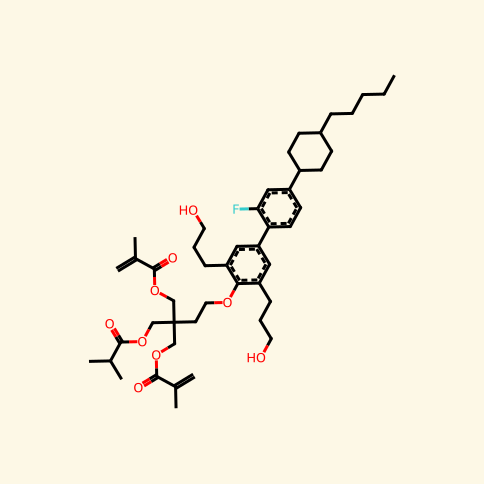 C=C(C)C(=O)OCC(CCOc1c(CCCO)cc(-c2ccc(C3CCC(CCCCC)CC3)cc2F)cc1CCCO)(COC(=O)C(=C)C)COC(=O)C(C)C